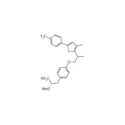 CO[C@@H](Cc1ccc(OCC(C)c2sc(-c3ccc(C(F)(F)F)cc3)cc2C)cc1)C(=O)O